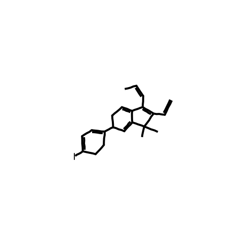 C=CC1=C(/C=C\C)C2=CCC(C3=CC=C(I)CC3)C=C2C1(C)C